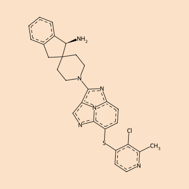 Cc1nccc(Sc2ccc3nc(N4CCC5(CC4)Cc4ccccc4[C@H]5N)c4cnc2n34)c1Cl